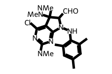 CNc1nc(Cl)c2c(n1)N(Nc1c(C)cc(C)cc1C)C(C=O)C2(NC)NC